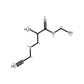 C#CCSCC(N)C(=O)OCS